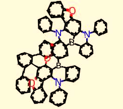 c1ccc(-c2cccc(-c3ccccc3)c2-c2c3c4c(c5c2oc2ccccc25)N(c2ccccc2)c2ccccc2B4c2cc4c(cc2O3)N(c2ccccc2)c2c3c(cc5oc6ccccc6c25)N(c2ccccc2)c2ccccc2B43)cc1